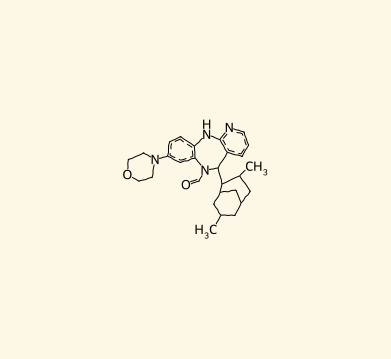 CC1CC2CC(C)C(C3c4cccnc4Nc4ccc(N5CCOCC5)cc4N3C=O)C(C1)C2